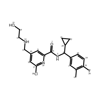 Cc1cc(C(NC(=O)c2cc(CNCCO)cc(Cl)n2)C2CC2)ccc1F